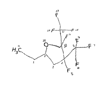 CCC1CC(F)(C(F)(F)F)C(F)(C(F)(F)F)O1